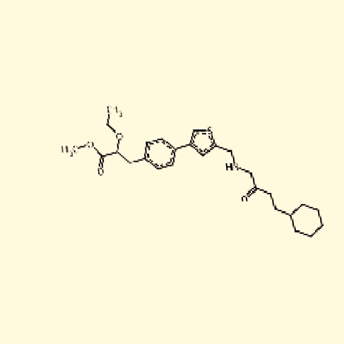 CCOC(Cc1ccc(-c2csc(CNCC(=O)CCC3CCCCC3)c2)cc1)C(=O)OC